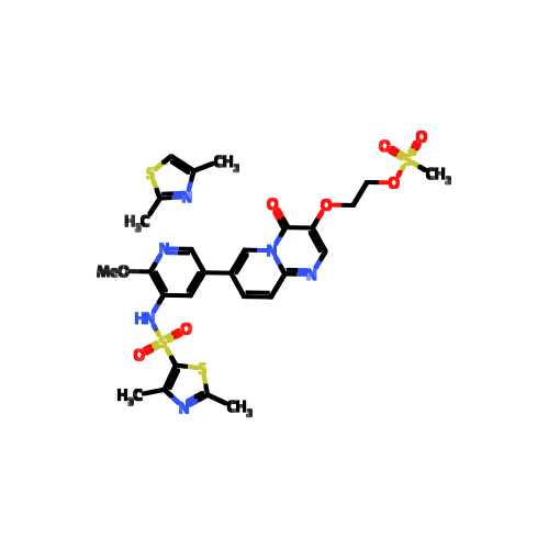 COc1ncc(-c2ccc3ncc(OCCOS(C)(=O)=O)c(=O)n3c2)cc1NS(=O)(=O)c1sc(C)nc1C.Cc1csc(C)n1